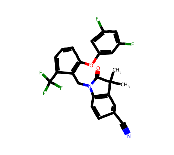 CC1(C)C(=O)N(Cc2c(Oc3cc(F)cc(F)c3)cccc2C(F)(F)F)c2ccc(C#N)cc21